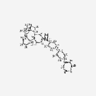 c1ccc(-c2ccc(-c3ccc(Nc4ccc5c(c4)C4CC6CC7CC(c8ccccc8-5)C764)cc3)cc2)cc1